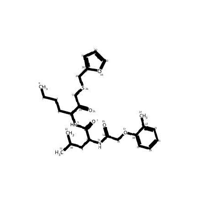 CCCCC(NC(=O)C(CC(C)C)NC(=O)COc1ccccc1C)C(=O)CSCc1ccco1